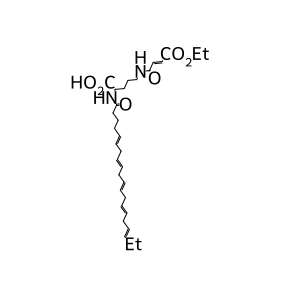 CCC=CCC=CCC=CCC=CCC=CCCCC(=O)N[C@@H](CCCNC(=O)C=CC(=O)OCC)C(=O)O